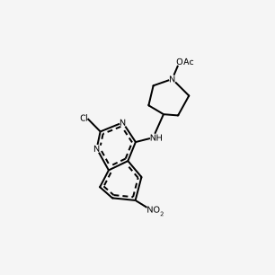 CC(=O)ON1CCC(Nc2nc(Cl)nc3ccc([N+](=O)[O-])cc23)CC1